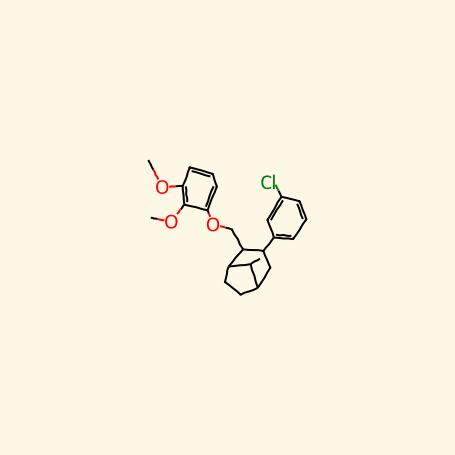 COc1cccc(OCC2C(c3cccc(Cl)c3)CC3CCC2C3C)c1OC